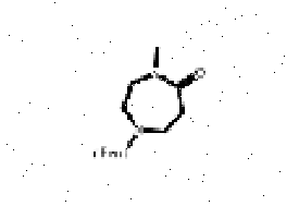 CCCCCN1CCC(=O)N(C)CC1